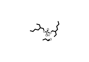 CCC=O.CCCCC(CC)COP(=O)(O)OCC(CC)CCCC